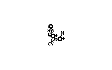 CC(=O)OCc1c(Oc2ccc(F)c(C#N)c2)c(F)cc2c1ccn2S(=O)(=O)c1ccccc1